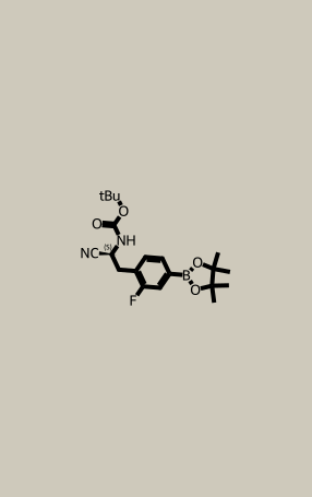 CC(C)(C)OC(=O)N[C@H](C#N)Cc1ccc(B2OC(C)(C)C(C)(C)O2)cc1F